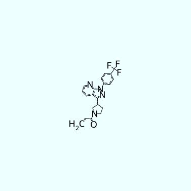 C=CC(=O)N1CCC(c2nn(-c3ccc(C(F)(F)F)cc3)c3ncccc23)C1